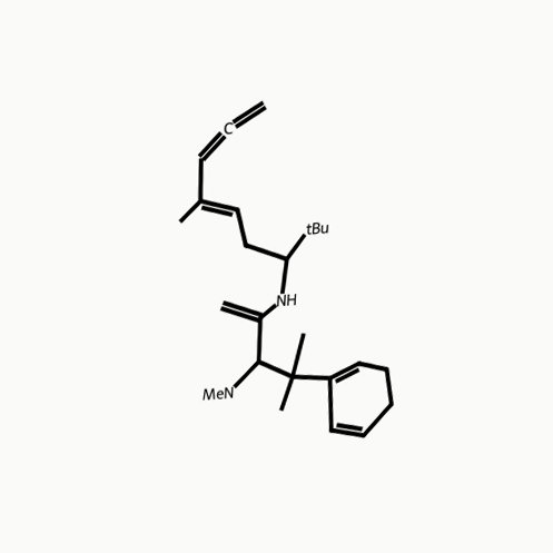 C=C=C/C(C)=C/CC(NC(=C)C(NC)C(C)(C)C1=CCCC=C1)C(C)(C)C